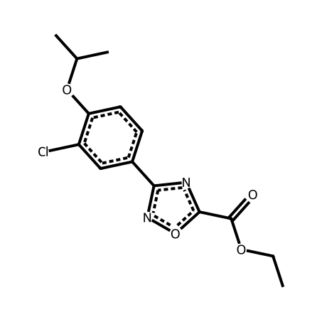 CCOC(=O)c1nc(-c2ccc(OC(C)C)c(Cl)c2)no1